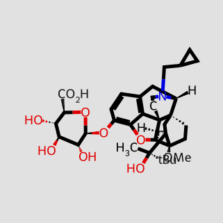 CO[C@]12CC[C@@]3(C[C@@H]1[C@](C)(O)C(C)(C)C)[C@H]1Cc4ccc(O[C@@H]5O[C@H](C(=O)O)[C@@H](O)[C@H](O)[C@H]5O)c5c4[C@@]3(CCN1CC1CC1)[C@H]2O5